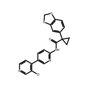 O=C(Nc1ccc(-c2ccncc2Cl)cn1)C1(c2ccc3c(c2)OCO3)CC1